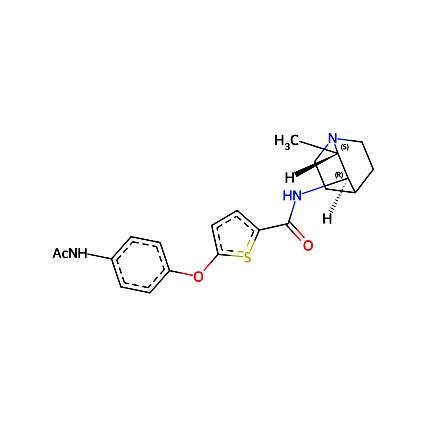 CC(=O)Nc1ccc(Oc2ccc(C(=O)N[C@@H]3C4CCN(CC4)[C@H]3C)s2)cc1